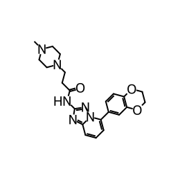 CN1CCN(CCC(=O)Nc2nc3cccc(-c4ccc5c(c4)OCCO5)n3n2)CC1